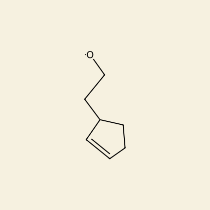 [O]CCC1C=CCC1